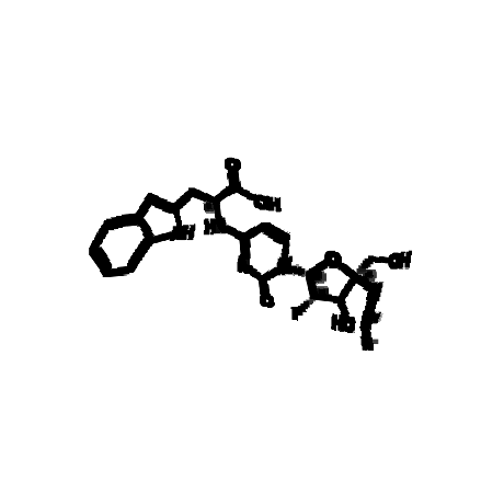 [N-]=[N+]=N[C@]1(CO)O[C@@H](n2ccc(N[C@@H](Cc3cc4ccccc4[nH]3)C(=O)O)nc2=O)[C@@H](F)C1O